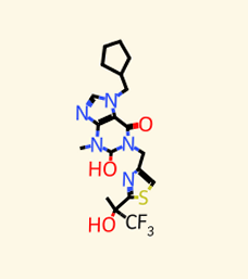 CN1c2ncn(CC3CCCC3)c2C(=O)N(Cc2csc(C(C)(O)C(F)(F)F)n2)C1O